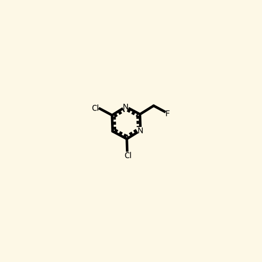 FCc1nc(Cl)cc(Cl)n1